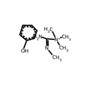 CN=C(N)[N+](C)(C)C.Oc1ccccc1